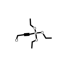 CCO[Si](C#CCCl)(OCC)OCC